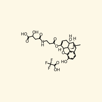 CN1CC[C@]23c4c5ccc(O)c4O[C@H]2C(OC(=O)CCNC(=O)CC(O)C(=O)O)=CC[C@@]3(O)[C@H]1C5.O=C(O)C(F)(F)F